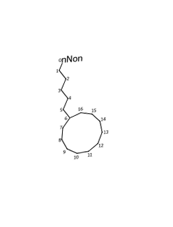 CCCCCCCCCCCCCCC1CCCCCCCCCC1